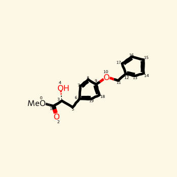 COC(=O)[C@H](O)Cc1ccc(OCc2ccccc2)cc1